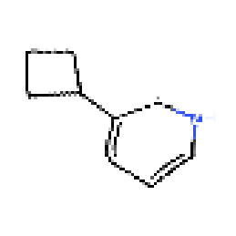 [CH]1NC=CC=C1C1CCC1